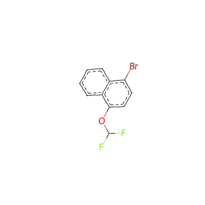 FC(F)Oc1ccc(Br)c2ccccc12